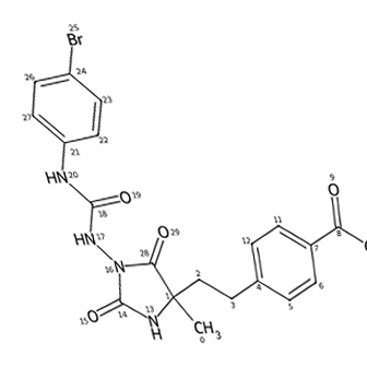 CC1(CCc2ccc(C(=O)O)cc2)NC(=O)N(NC(=O)Nc2ccc(Br)cc2)C1=O